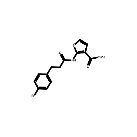 COC(=O)c1ccsc1NC(=O)CCc1ccc(Br)cc1